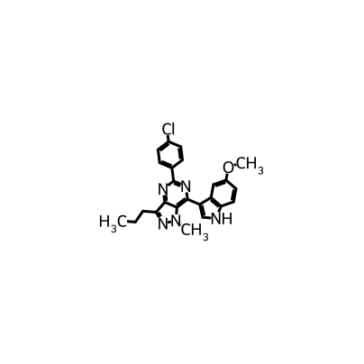 CCCc1nn(C)c2c(-c3c[nH]c4ccc(OC)cc34)nc(-c3ccc(Cl)cc3)nc12